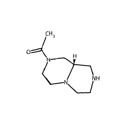 CC(=O)N1CCN2CCNC[C@H]2C1